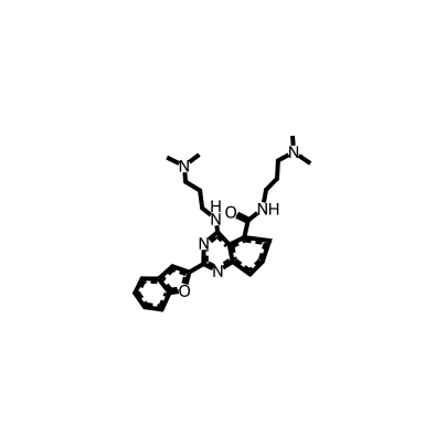 CN(C)CCCNC(=O)c1cccc2nc(-c3cc4ccccc4o3)nc(NCCCN(C)C)c12